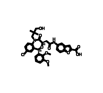 COc1cccc([C@H]2O[C@H](CC(=O)Nc3ccc4oc(C(=O)O)cc4c3)C(=O)N(CC(C)(C)CO)c3ccc(Cl)cc32)c1OC